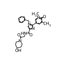 Cc1cc(-c2nc(C(=O)NCC(=O)N3CCC(O)CC3)cn2Cc2ccccc2)cn(C)c1=O